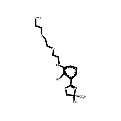 COCCOCCOCCNc1cccc(C2=N[C@@](C)(C(=O)O)CS2)c1O